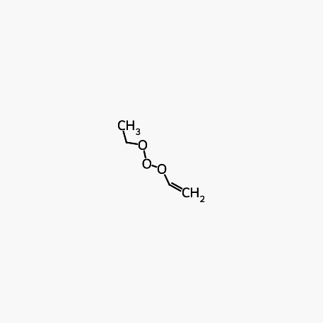 C=COOOCC